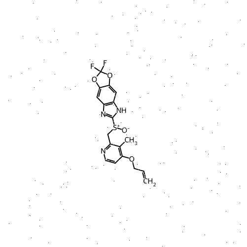 C=CCOc1ccnc(C[S+]([O-])c2nc3cc4c(cc3[nH]2)OC(F)(F)O4)c1C